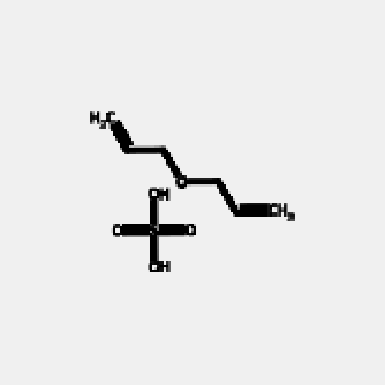 C=CCOCC=C.O=S(=O)(O)O